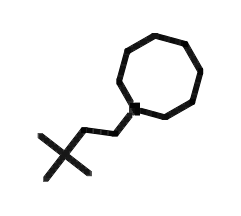 CC(C)(C)CCN1CCCCCCC1